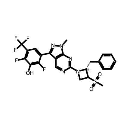 Cn1nc(-c2cc(C(F)(F)F)c(F)c(O)c2F)c2cnc(N3CC(S(C)(=O)=O)[C@H]3Cc3ccccc3)nc21